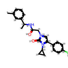 Cc1cccc(C(C)NC(=O)Cn2cc(-c3ccc(Cl)cc3)n(C3CC3)c2=O)c1